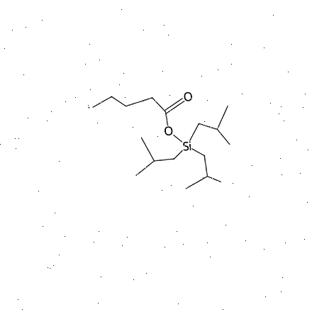 [CH2]CCCC(=O)O[Si](CC(C)C)(CC(C)C)CC(C)C